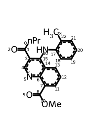 CCCC(=O)c1cnc2c(C(=O)OC)cccc2c1Nc1ccccc1C